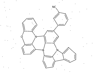 N#Cc1cccc(-c2cc3c4c(c2)-n2c5ccccc5c5cccc(c52)B4c2cccc4c2N3c2ccccc2O4)c1